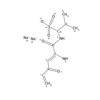 C=CC(=O)C=C([NH-])C(=O)NC(C(C)C)S(=O)(=O)[O-].[Na+].[Na+]